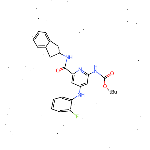 CC(C)(C)OC(=O)Nc1cc(Nc2ccccc2F)cc(C(=O)NC2Cc3ccccc3C2)n1